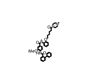 COc1cc(C(=O)N(C)c2ccccc2OCCCCCC(=O)N2CCN(C)CC2)ccc1NC(=O)c1ccccc1-c1ccccc1